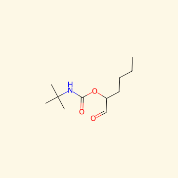 CCCCC(C=O)OC(=O)NC(C)(C)C